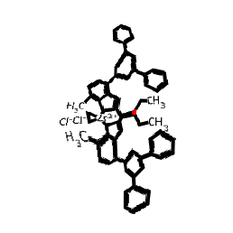 CCCCC1=Cc2c(-c3cc(-c4ccccc4)cc(-c4ccccc4)c3)ccc(C)c2[CH]1[Zr+2]1([CH]2C(CCCC)=Cc3c(-c4cc(-c5ccccc5)cc(-c5ccccc5)c4)ccc(C)c32)[CH2][CH2]1.[Cl-].[Cl-]